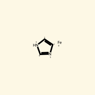 [Fe].c1c[nH]cn1